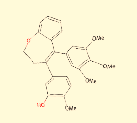 COc1ccc(C2=C(c3cc(OC)c(OC)c(OC)c3)c3ccccc3OCC2)cc1O